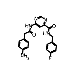 Bc1ccc(CC(=O)Nc2cc(C(=O)NCc3ccc(F)cc3)ncn2)cc1